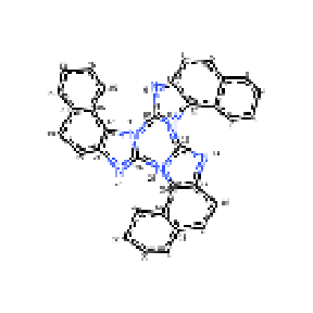 c1ccc2c(c1)ccc1nc3n(c12)c1nc2ccc4ccccc4c2n1c1nc2ccc4ccccc4c2n31